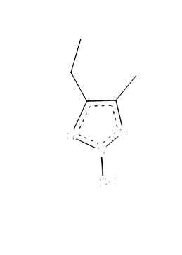 CCc1nn(N)nc1C